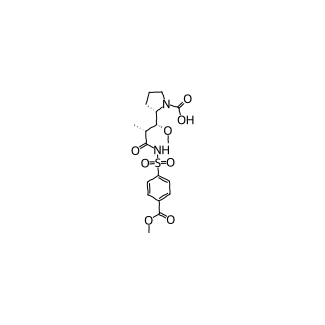 COC(=O)c1ccc(S(=O)(=O)NC(=O)[C@H](C)[C@@H](OC)[C@@H]2CCCN2C(=O)O)cc1